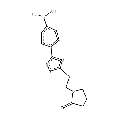 O=C1CCCN1CCc1nnc(-c2ccc(B(O)O)cc2)o1